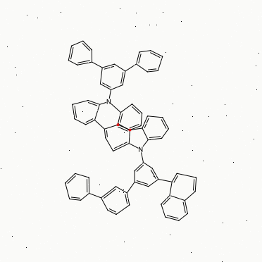 c1ccc(-c2cccc(-c3cc(-c4cccc5ccccc45)cc(-n4c5ccccc5c5cc(-c6ccccc6N(c6ccccc6)c6cc(-c7ccccc7)cc(-c7ccccc7)c6)ccc54)c3)c2)cc1